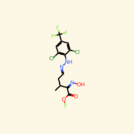 CC(CC=NNc1c(Cl)cc(C(F)(F)F)cc1Cl)C(=NO)C(=O)OF